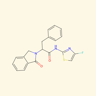 O=C(Nc1nc(F)cs1)C(Cc1ccccc1)N1Cc2ccccc2C1=O